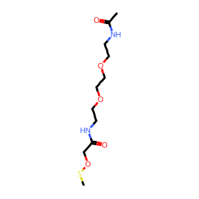 CSOCC(=O)NCCOCCOCCNC(C)=O